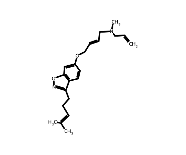 C=CCN(C)CC=CCOc1ccc2c(CCC=C(C)C)noc2c1